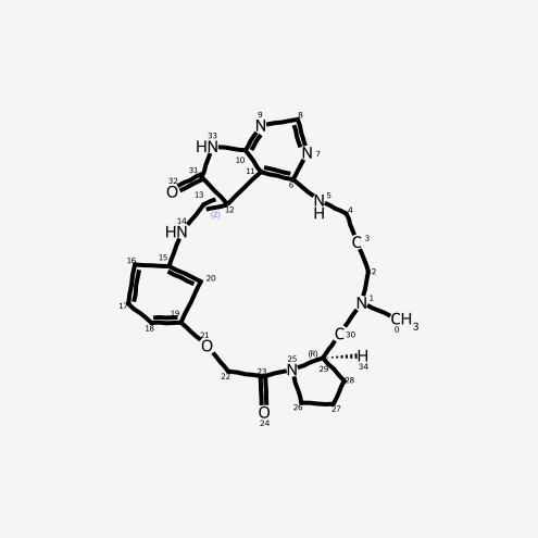 CN1CCCNc2ncnc3c2/C(=C/Nc2cccc(c2)OCC(=O)N2CCC[C@@H]2C1)C(=O)N3